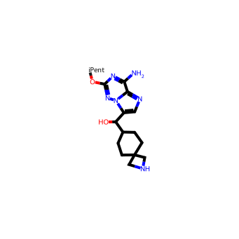 CCCC(C)Oc1nc(N)c2ncc(C(O)C3CCC4(CC3)CNC4)n2n1